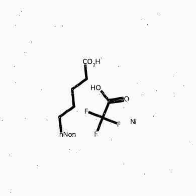 CCCCCCCCCCCCCC(=O)O.O=C(O)C(F)(F)F.[Ni]